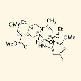 CCO[C@]12C=C(C)N3C[C@@H](CC)[C@@H](/C(=C\OC)C(=O)OC)C[C@H]3[C@@]1(O)Nc1cc(I)cc(OC)c12